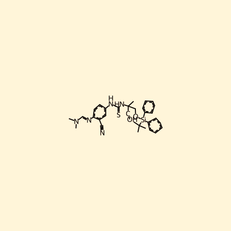 CN(C)C=Nc1ccc(NC(=S)NC(C)(CO)CO[Si](c2ccccc2)(c2ccccc2)C(C)(C)C)cc1C#N